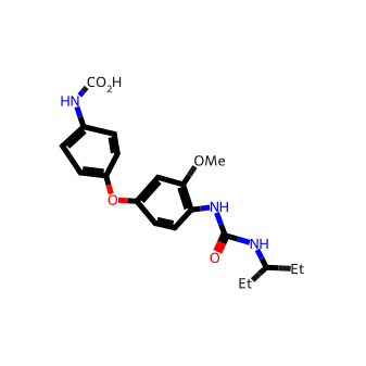 CCC(CC)NC(=O)Nc1ccc(Oc2ccc(NC(=O)O)cc2)cc1OC